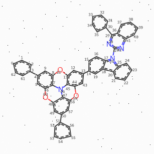 c1ccc(-c2cc3c4c(c2)Oc2cc(-c5ccc6c(c5)c5ccccc5n6-c5nc(-c6ccccc6)c6ccccc6n5)cc5c2N4c2c(cc(-c4ccccc4)cc2O5)O3)cc1